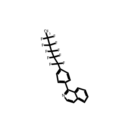 FC(F)(F)C(F)(F)C(F)(F)C(F)(F)C(F)(F)C(F)(F)c1ccc(-c2nccc3ccccc23)cc1